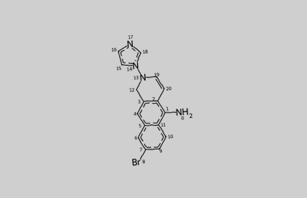 Nc1c2c(cc3cc(Br)ccc13)CN(n1ccnc1)C=C2